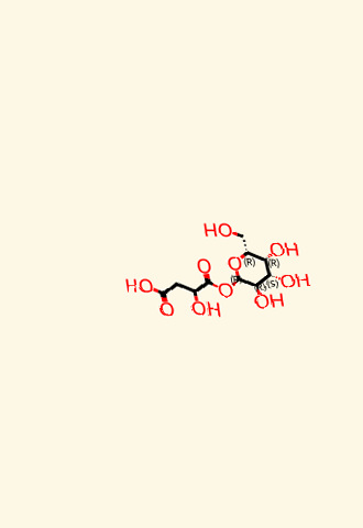 O=C(O)CC(O)C(=O)O[C@H]1O[C@H](CO)[C@H](O)[C@H](O)[C@H]1O